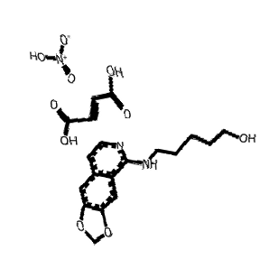 O=C(O)C=CC(=O)O.O=[N+]([O-])O.OCCCCCNc1nccc2cc3c(cc12)OCO3